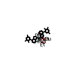 CCCCC1=Cc2c(-c3cc(C)cc(C)c3C)cccc2[CH]1[Hf]([Cl])([Cl])([B](NC(=O)CC)NC(=O)CC)[CH]1C(CCCC)=Cc2c(-c3cc(C)cc(C)c3C)cccc21